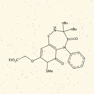 CCCCC1(CCCC)NSC2=C(C(=O)C(SC)C(OCC(=O)OCC)=C2)N(c2ccccc2)C1=O